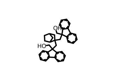 OCC1(CC2(CC3(CO)c4ccccc4-c4ccccc43)CC3CCC2C3)c2ccccc2-c2ccccc21